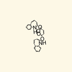 O=C(/C=C\C(=O)OC1=CC=Cc2ccccc2N1)OC1=CC=Cc2ccccc2N1